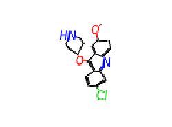 COc1ccc2nc3cc(Cl)ccc3c(OC3CCNCC3)c2c1